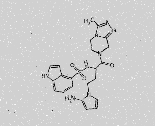 Cc1nnc2n1CCN(C(=O)C(CCn1cccc1N)NS(=O)(=O)c1cccc3[nH]ccc13)C2